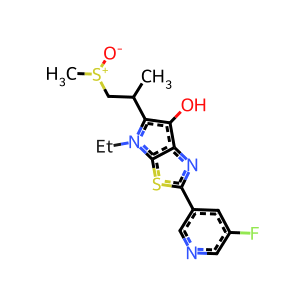 CCn1c(C(C)C[S+](C)[O-])c(O)c2nc(-c3cncc(F)c3)sc21